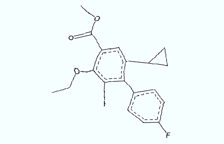 CCOc1c(C(=O)OC)cc(C2CC2)c(-c2ccc(F)cc2)c1I